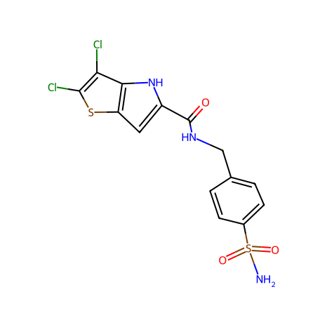 NS(=O)(=O)c1ccc(CNC(=O)c2cc3sc(Cl)c(Cl)c3[nH]2)cc1